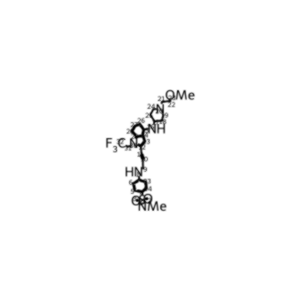 CNS(=O)(=O)c1ccc(NCC#Cc2cc3c(NC4CCN(CCOC)CC4)cccc3n2CC(F)(F)F)cc1